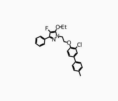 CCOc1c(F)c(-c2ccccc2)nn1CCOc1ccc(-c2ccc(C)cc2)cc1Cl